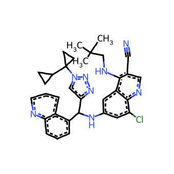 CC(C)(C)CNc1c(C#N)cnc2c(Cl)cc(NC(c3cn(C4(C5CC5)CC4)nn3)c3cccc4ncccc34)cc12